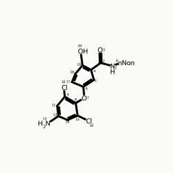 CCCCCCCCCNC(=O)c1cc(Oc2c(Cl)cc(N)cc2Cl)ccc1O